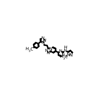 Cc1ccc(-c2cnnn2CCc2nnc3cc(-c4ccnc(Nc5ccnn5C)n4)ccn23)cc1